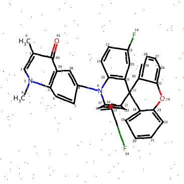 Cc1cn(C)c2ccc(N3c4ccc(F)cc4C4(c5ccccc5Oc5ccccc54)c4cc(F)ccc43)cc2c1=O